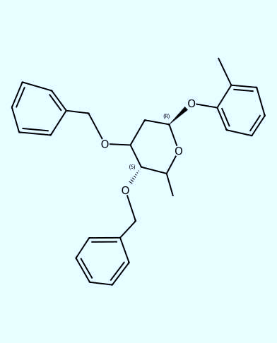 Cc1ccccc1O[C@@H]1CC(OCc2ccccc2)[C@@H](OCc2ccccc2)C(C)O1